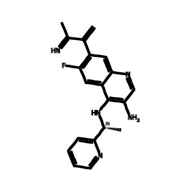 C=C(C(C)=N)c1cc2ncc(N)c(N[C@H](C)c3ccccn3)c2cc1F